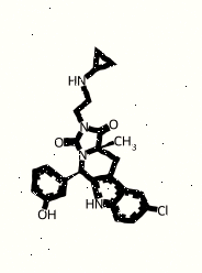 C[C@@]12Cc3c([nH]c4ccc(Cl)cc34)[C@@H](c3cccc(O)c3)N1C(=O)N(CCNC1CC1)C2=O